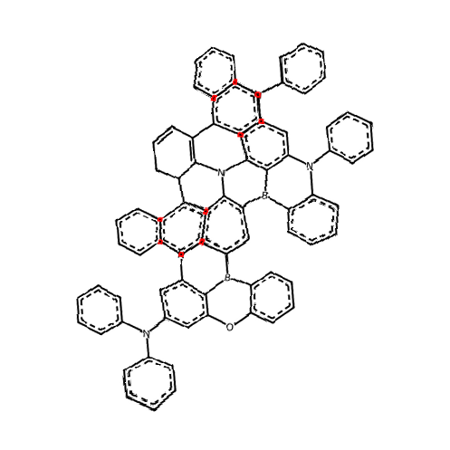 C1=CC(c2ccccc2)=C(N2c3cc4c(cc3B3c5ccccc5N(c5ccccc5)c5cc(N(c6ccccc6)c6ccccc6)cc2c53)B2c3ccccc3Oc3cc(N(c5ccccc5)c5ccccc5)cc(c32)N4c2ccccc2)C(c2ccccc2)C1